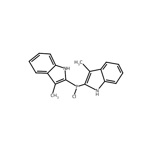 Cc1c(P(Cl)c2[nH]c3ccccc3c2C)[nH]c2ccccc12